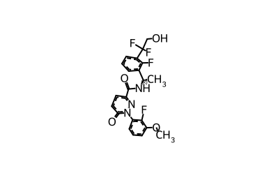 COc1cccc(-n2nc(C(=O)N[C@H](C)c3cccc(C(F)(F)CO)c3F)ccc2=O)c1F